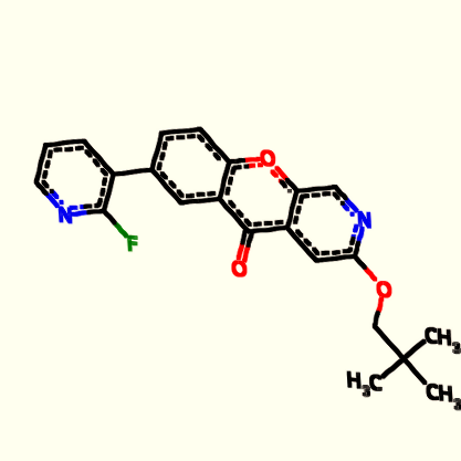 CC(C)(C)COc1cc2c(=O)c3cc(-c4cccnc4F)ccc3oc2cn1